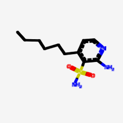 CCCCCCc1ccnc(N)c1S(N)(=O)=O